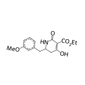 CCOC(=O)C1=C(O)CC(Cc2cccc(OC)c2)NC1=O